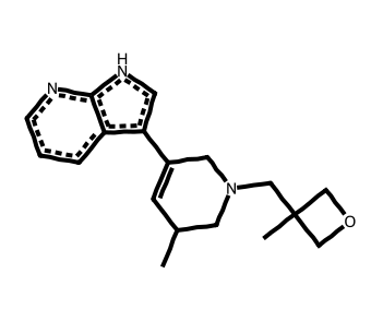 CC1C=C(c2c[nH]c3ncccc23)CN(CC2(C)COC2)C1